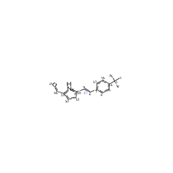 CC(C)(C)c1ccc(/C=C/c2ccc(C=O)[nH]2)cc1